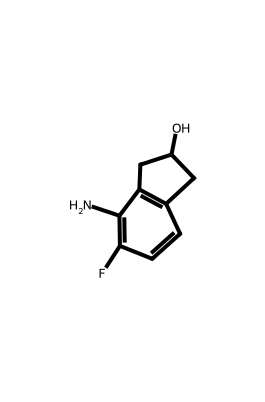 Nc1c(F)ccc2c1CC(O)C2